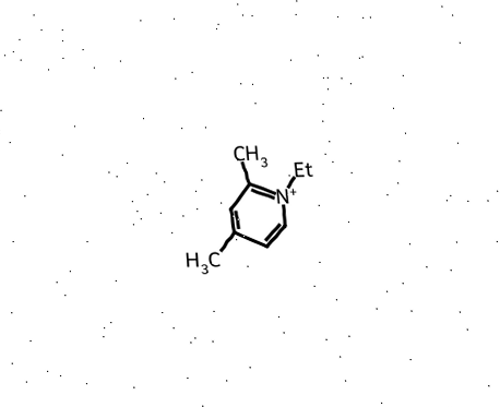 CC[n+]1ccc(C)cc1C